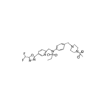 CCS(=O)(=O)N(Cc1ccc(-c2nnc(C(F)F)o2)cn1)c1ccc(CN2CCN(S(C)(=O)=O)CC2)cc1